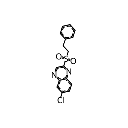 O=S(=O)(CCc1ccccc1)c1cnc2cc(Cl)ccc2n1